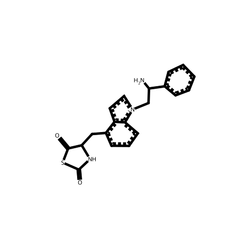 NC(Cn1ccc2c(CC3NC(=O)SC3=O)cccc21)c1ccccc1